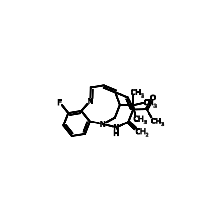 C=C1NN2CC(C(C)(C)C)C(=C\C=N\c3c(F)cccc32)/C=C\1C(C)=O